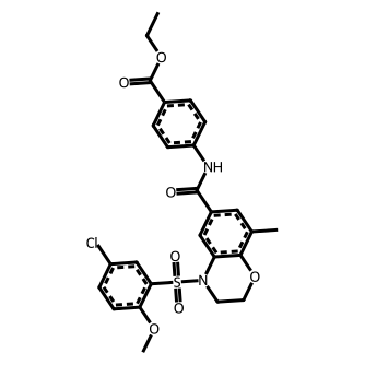 CCOC(=O)c1ccc(NC(=O)c2cc(C)c3c(c2)N(S(=O)(=O)c2cc(Cl)ccc2OC)CCO3)cc1